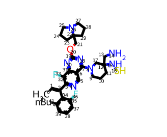 C/C=C(/c1ncc2c(N3CCCC(CN)(NS)C3)nc(OCC34CCCN3CCC4)nc2c1F)c1c(F)cccc1CCCC